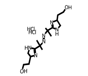 CC(C)(N=NC(C)(C)C1=NC(CCO)CN1)C1=NC(CCO)CN1.Cl.Cl